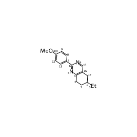 CCC1CCc2nc(-c3ccc(OC)cc3)ncc2C1